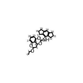 CCOC(=O)CC(OC(=O)Nc1c2c(cc3c1CCC3)CCC2)c1ccccc1